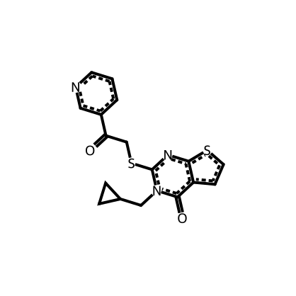 O=C(CSc1nc2sccc2c(=O)n1CC1CC1)c1cccnc1